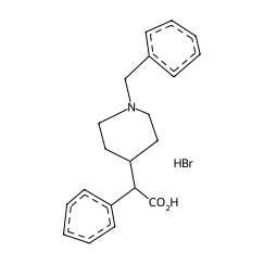 Br.O=C(O)C(c1ccccc1)C1CCN(Cc2ccccc2)CC1